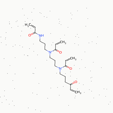 C=CC(=O)CCCN(CCCN(CCCNC(=O)C=C)C(=O)C=C)C(=O)C=C